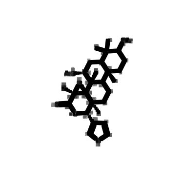 CC(=O)OC1CC[C@@]2(C)C(C[C@@H](OC(C)=O)[C@]3(C)C2CC[C@@]2(C)[C@H](c4ccoc4)OC(=O)[C@H]4O[C@]423)C1(C)C